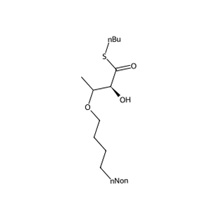 CCCCCCCCCCCCCOC(C)[C@H](O)C(=O)SCCCC